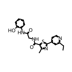 CCc1cc(-c2nc(C)c(C(=O)NCC(=O)Nc3ccccc3O)s2)ccn1